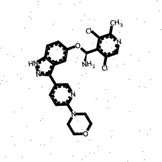 Cc1ncc(Cl)c([C@@H](N)Oc2ccc3[nH]nc(-c4ccc(N5CCOCC5)nc4)c3c2)c1Cl